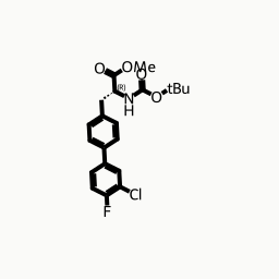 COC(=O)[C@@H](Cc1ccc(-c2ccc(F)c(Cl)c2)cc1)NC(=O)OC(C)(C)C